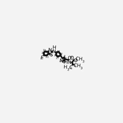 COC(=O)[C@@H](NC(=O)c1cc(-c2ccc(Nc3nc4ccc(F)cc4s3)cc2)no1)C(C)C